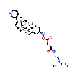 CN(C)CCNC(=O)CCC(=O)ON=C1C=C2CC[C@H]3[C@H](CC[C@]4(C)C(c5cccnc5)=CC[C@@H]34)[C@@]2(C)CC1